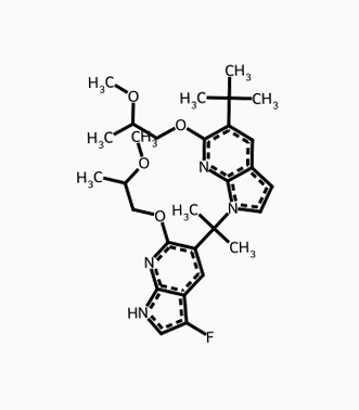 COC(C)COc1nc2c(ccn2C(C)(C)c2cc3c(F)c[nH]c3nc2OCC(C)OC)cc1C(C)(C)C